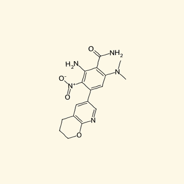 CN(C)c1cc(-c2cnc3c(c2)CCCO3)c([N+](=O)[O-])c(N)c1C(N)=O